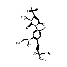 CC[S+]([O-])c1cc(-n2c(=O)cc(C(F)(F)F)n(C)c2=O)c(F)cc1C#C[Si](C)(C)C